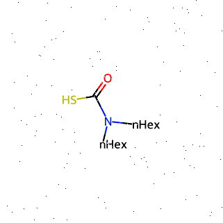 CCCCCCN(CCCCCC)C(=O)S